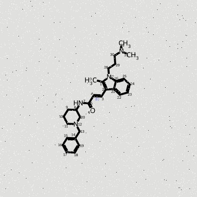 Cc1c(/C=C/C(=O)NC2CCCN(Cc3ccccc3)C2)c2ccccc2n1CCCN(C)C